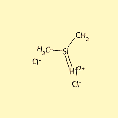 C[Si](C)=[Hf+2].[Cl-].[Cl-]